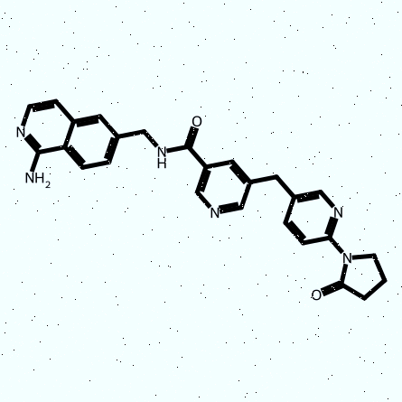 Nc1nccc2cc(CNC(=O)c3cncc(Cc4ccc(N5CCCC5=O)nc4)c3)ccc12